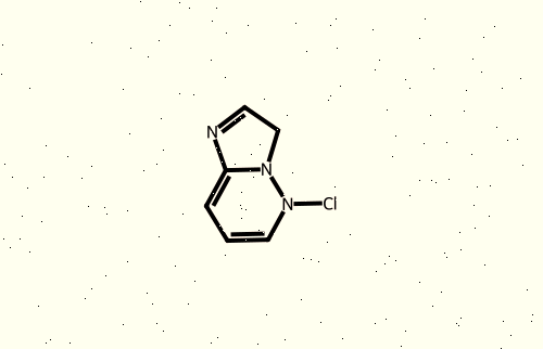 ClN1C=CC=C2N=CCN21